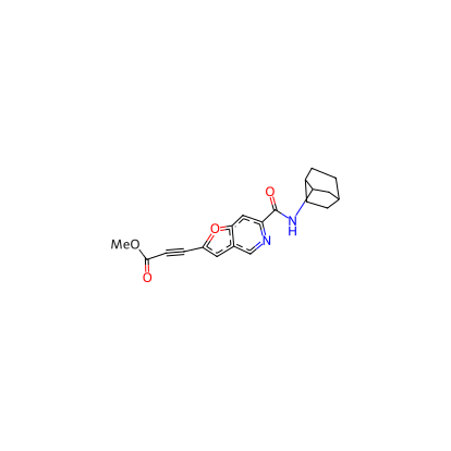 COC(=O)C#Cc1cc2cnc(C(=O)NC3CC4CCC3CC4)cc2o1